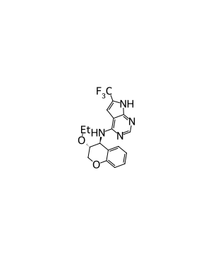 CCO[C@H]1COc2ccccc2[C@@H]1Nc1ncnc2[nH]c(C(F)(F)F)cc12